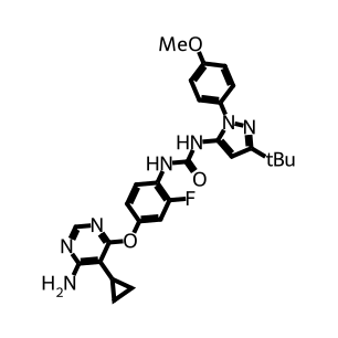 COc1ccc(-n2nc(C(C)(C)C)cc2NC(=O)Nc2ccc(Oc3ncnc(N)c3C3CC3)cc2F)cc1